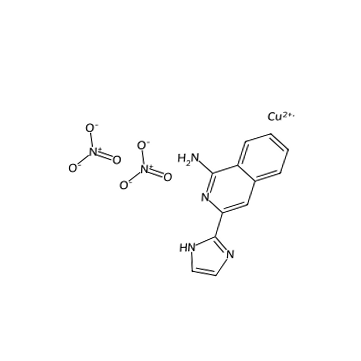 Nc1nc(-c2ncc[nH]2)cc2ccccc12.O=[N+]([O-])[O-].O=[N+]([O-])[O-].[Cu+2]